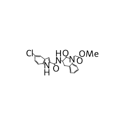 COC(=O)CN1C(=O)C(NC(=O)c2cc3cc(Cl)ccc3[nH]2)Cc2ccccc21